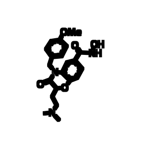 COc1ccc(CN2C(=O)C(CCN(C)C)Oc3ccc(C(=O)NO)cc32)cc1